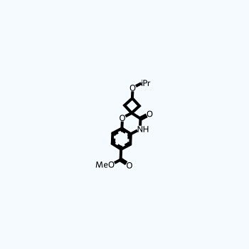 COC(=O)c1ccc2c(c1)NC(=O)C1(CC(OC(C)C)C1)O2